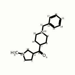 CN1CCC(C(=O)C2CCN(Cc3ccccc3)CC2)C1